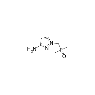 CP(C)(=O)Cn1ccc(N)n1